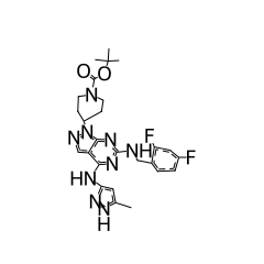 Cc1cc(Nc2nc(NCc3ccc(F)cc3F)nc3c2cnn3C2CCN(C(=O)OC(C)(C)C)CC2)n[nH]1